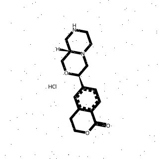 Cl.O=C1OCCc2cc([C@@H]3CN4CCNC[C@H]4CO3)ccc21